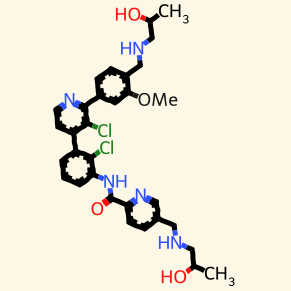 COc1cc(-c2nccc(-c3cccc(NC(=O)c4ccc(CNCC(C)O)cn4)c3Cl)c2Cl)ccc1CNCC(C)O